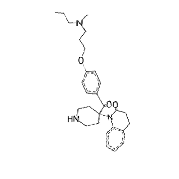 CCCN(C)CCCOc1ccc(C(=O)C2(N3C(=O)CCc4ccccc43)CCNCC2)cc1